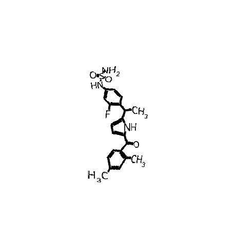 Cc1ccc(C(=O)c2ccc(C(C)c3ccc(NS(N)(=O)=O)cc3F)[nH]2)c(C)c1